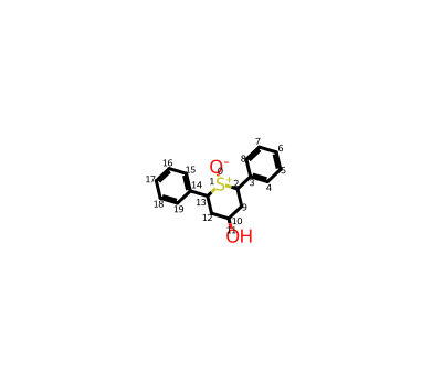 [O-][S+]1C(c2ccccc2)CC(O)CC1c1ccccc1